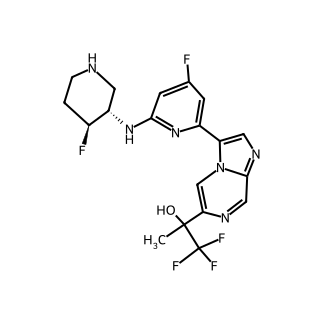 CC(O)(c1cn2c(-c3cc(F)cc(N[C@H]4CNCC[C@@H]4F)n3)cnc2cn1)C(F)(F)F